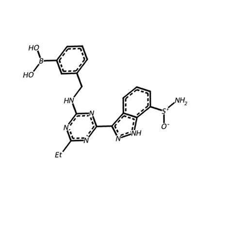 CCc1nc(NCc2cccc(B(O)O)c2)nc(-c2n[nH]c3c([S+](N)[O-])cccc23)n1